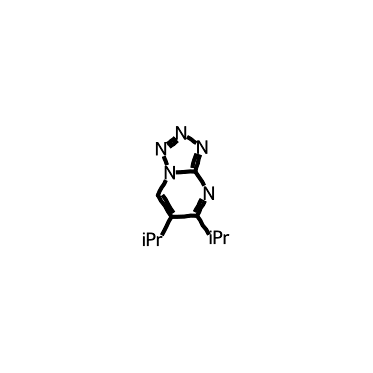 CC(C)c1cn2nnnc2nc1C(C)C